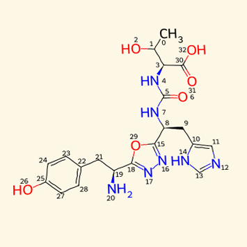 CC(O)[C@H](NC(=O)N[C@@H](Cc1cnc[nH]1)c1nnc([C@@H](N)Cc2ccc(O)cc2)o1)C(=O)O